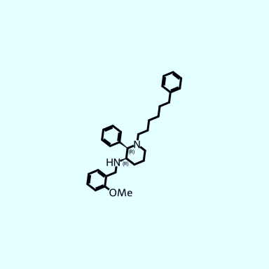 COc1ccccc1CN[C@@H]1CCCN(CCCCCCc2ccccc2)[C@@H]1c1ccccc1